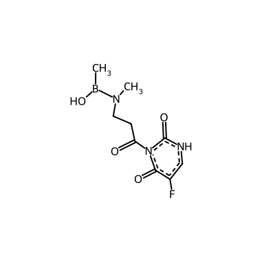 CB(O)N(C)CCC(=O)n1c(=O)[nH]cc(F)c1=O